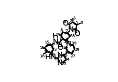 CC1=C(C)C(=O)N(c2ccc(C(=O)Nc3ccc(C)c(Nc4nccc(-c5cccnc5)n4)c3)cc2)C1=O